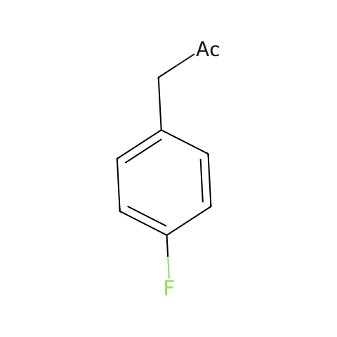 [CH2]C(=O)Cc1ccc(F)cc1